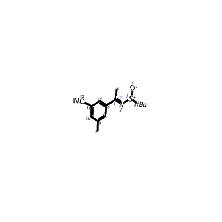 C/C(=N\[S+]([O-])C(C)(C)C)c1cc(C)cc(C#N)c1